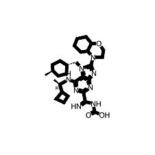 C[C@@H](Nc1nc(C(=N)NC(=O)O)nc2nc(N3CCOC4CCCCC43)n(C[C@H]3CC[C@H](C)CC3)c12)C1CCC1